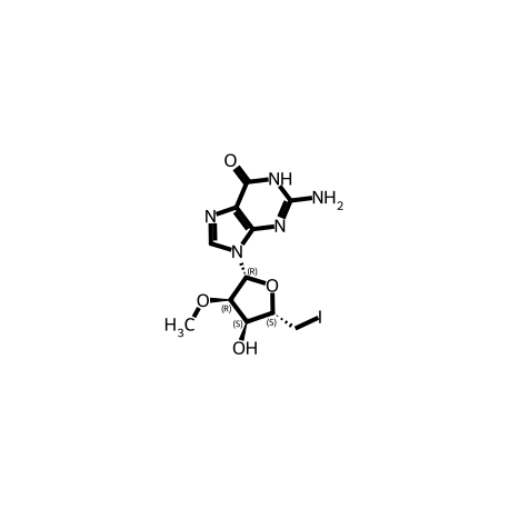 CO[C@@H]1[C@H](O)[C@@H](CI)O[C@H]1n1cnc2c(=O)[nH]c(N)nc21